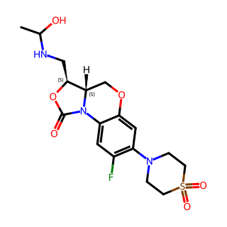 CC(O)NC[C@@H]1OC(=O)N2c3cc(F)c(N4CCS(=O)(=O)CC4)cc3OC[C@@H]12